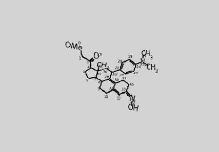 COCC(=O)C1CCC2C3CCC4=CC(=NO)CCC4=C3C(c3ccc(N(C)C)cc3)CC12C